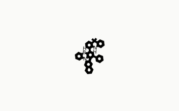 CC1(C)c2ccccc2Nc2c(-c3cc(-c4ccccc4)c4c5cc6ccccc6cc5n5c4c3Bc3ccccc3-5)cccc21